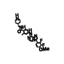 COC1C=CC(c2cnc3c(Nc4ccc(C(=O)NCC5CCNCC5)c(C)c4)nccn23)=C(F)C1F